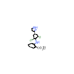 CCOC(=O)c1ccccc1Nc1c(Cl)cc(-c2cc[nH]n2)cc1Cl